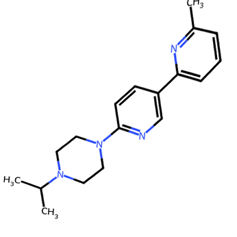 Cc1cccc(-c2ccc(N3CCN(C(C)C)CC3)nc2)n1